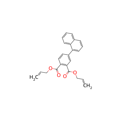 C=CCOC(=O)c1ccc(-c2cccc3ccccc23)cc1C(=O)OCC=C